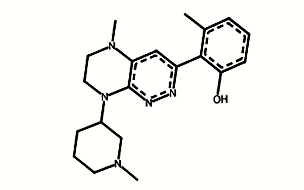 Cc1cccc(O)c1-c1cc2c(nn1)N(C1CCCN(C)C1)CCN2C